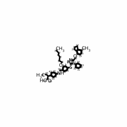 CCCCCCCOc1cc(Sc2nnc(COc3ccc(C)c4c3CCC4)n2-c2ccccc2)ccc1CNc1ccc(C(CC)C(=O)O)cc1